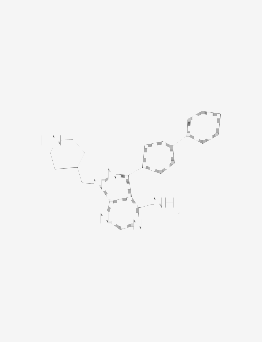 Nc1ncnc2c1c(-c1ccc(-c3ccccc3)cc1)nn2CC1CCNCC1